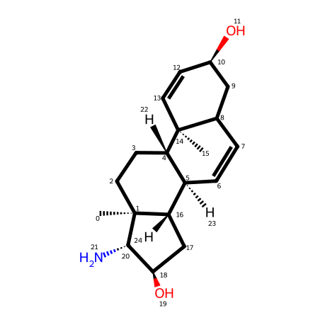 C[C@]12CC[C@H]3[C@@H](C=CC4C[C@H](O)C=C[C@@]43C)[C@@H]1C[C@@H](O)[C@@H]2N